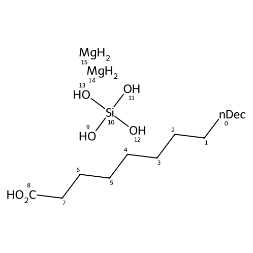 CCCCCCCCCCCCCCCCCC(=O)O.O[Si](O)(O)O.[MgH2].[MgH2]